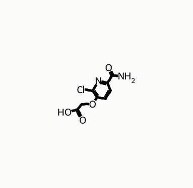 NC(=O)c1ccc(OCC(=O)O)c(Cl)n1